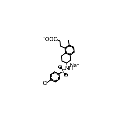 Cc1ccc2c(c1CCC(=O)[O-])CC[C@@H](NS(=O)(=O)c1ccc(Cl)cc1)C2.[Na+]